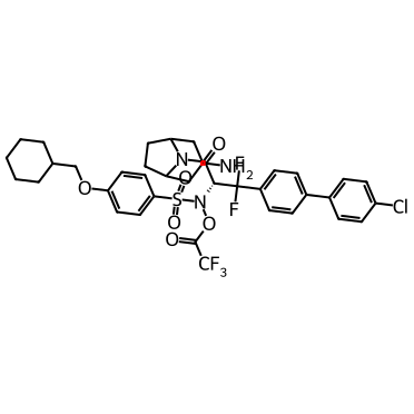 NC1CC2CCC(C1)N2C(=O)[C@@H](N(OC(=O)C(F)(F)F)S(=O)(=O)c1ccc(OCC2CCCCC2)cc1)C(F)(F)c1ccc(-c2ccc(Cl)cc2)cc1